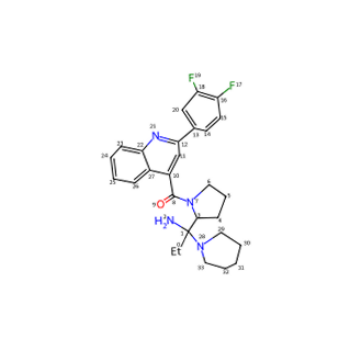 CCC(N)(C1CCCN1C(=O)c1cc(-c2ccc(F)c(F)c2)nc2ccccc12)N1CCCCC1